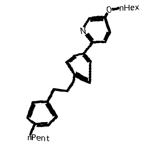 CCCCCCOc1ccc(-c2ccc(CCc3ccc(CCCCC)cc3)cc2)nc1